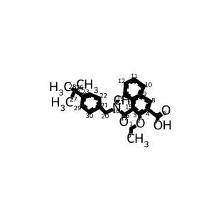 CCOc1c(C(=O)O)cc2ccccc2c1C(=O)N(C)Cc1ccc(C(C)(C)C)cc1